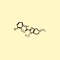 CN1CCc2c(nc(C(=O)Nc3cccc(Br)c3Cl)n2C)C1